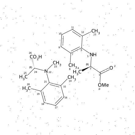 COC(=O)[C@@H](C)Nc1c(C)cccc1C.Cc1cccc(C)c1N(C)[C@H](C)C(=O)O